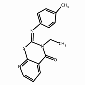 CCn1c(=Nc2ccc(C)cc2)sc2ncccc2c1=O